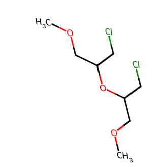 COCC(CCl)OC(CCl)COC